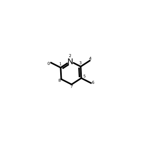 CC1=NC(C)=C(C)CC1